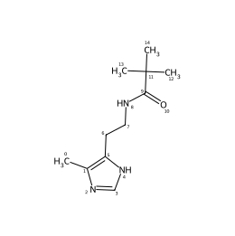 Cc1nc[nH]c1CCNC(=O)C(C)(C)C